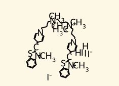 CN1C(=C=C2C=CN(CCC[N+](C)(C)CCC[N+](C)(C)CCCN3C=CC(=C=C4Sc5ccccc5N4C)C=C3)C=C2)Sc2ccccc21.I.I.[I-].[I-]